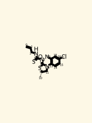 C=CCNC(=S)N=C1S[C@@H](C)CN1c1ccc(Cl)cc1[N+](=O)[O-]